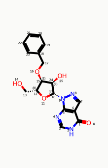 O=c1[nH]cnc2c1cnn2[C@@H]1O[C@H](CO)[C@@H](OCc2ccccc2)[C@H]1O